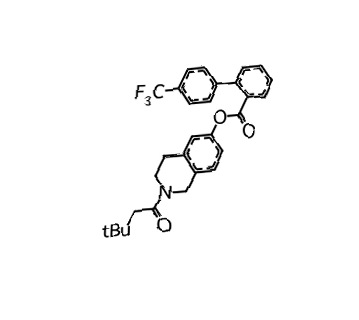 CC(C)(C)CC(=O)N1CCc2cc(OC(=O)c3ccccc3-c3ccc(C(F)(F)F)cc3)ccc2C1